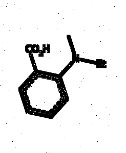 CCN(C)c1ccccc1C(=O)O